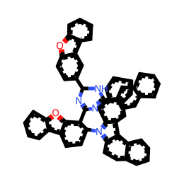 c1ccc2cc(C3=NC(c4c(-n5c6cc7ccccc7cc6c6c7ccccc7ccc65)ccc5c4oc4ccccc45)=NC(c4ccc5oc6ccccc6c5c4)N3)ccc2c1